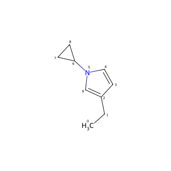 CCc1ccn(C2CC2)c1